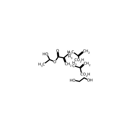 C=C(C)C(=O)O.C=C(C)C(=O)O.C=C(C)C(=O)OC(C)O.OCCO